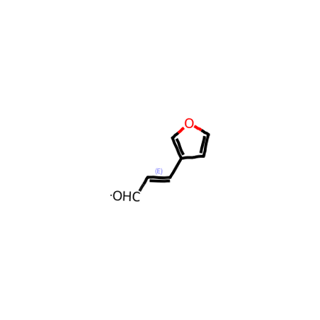 O=[C]/C=C/c1ccoc1